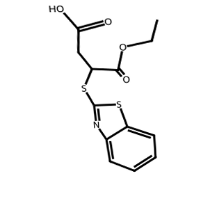 CCOC(=O)C(CC(=O)O)Sc1nc2ccccc2s1